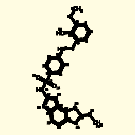 COc1cccc(CNc2ccc(S(=O)(=O)Nc3nc4c5c(ccc4s3)OC(OC)O5)cc2)c1O